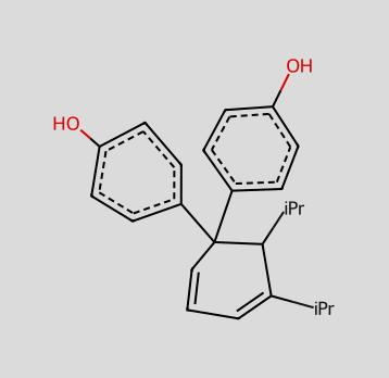 CC(C)C1=CC=CC(c2ccc(O)cc2)(c2ccc(O)cc2)C1C(C)C